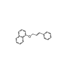 C(=C\c1ccccc1)/COc1cccc2ccccc12